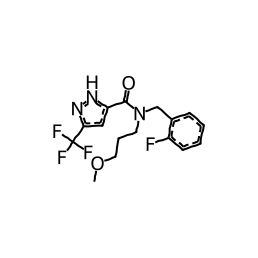 COCCCN(Cc1ccccc1F)C(=O)c1cc(C(F)(F)F)n[nH]1